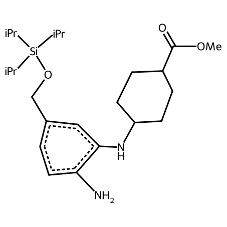 COC(=O)C1CCC(Nc2cc(CO[Si](C(C)C)(C(C)C)C(C)C)ccc2N)CC1